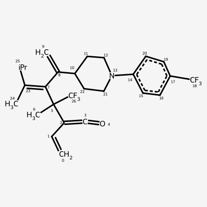 C=CC(=C=O)C(C)(/C(C(=C)C1CCN(c2ccc(C(F)(F)F)cc2)CC1)=C(\C)C(C)C)C(F)(F)F